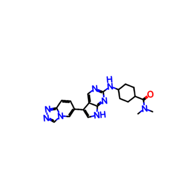 CN(C)C(=O)C1CCC(Nc2ncc3c(-c4ccc5nncn5c4)c[nH]c3n2)CC1